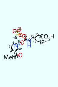 CNC(=O)c1ccc[n+](COC(=O)NCC(CC(=O)O)CC(C)C)c1.CS(=O)(=O)[O-]